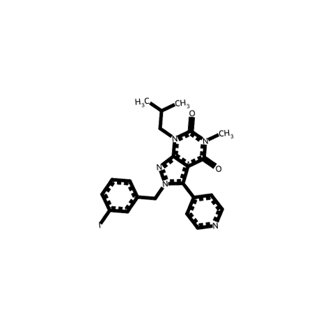 CC(C)Cn1c(=O)n(C)c(=O)c2c(-c3ccncc3)n(Cc3cccc(I)c3)nc21